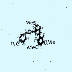 COc1cc(OC)c(F)c(-c2cc3cnc(SC)nc3c(NCCN3CCN(C)CC3)n2)c1F